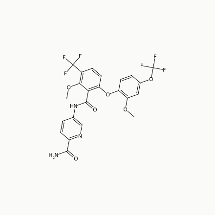 COc1cc(OC(F)(F)F)ccc1Oc1ccc(C(F)(F)F)c(OC)c1C(=O)Nc1ccc(C(N)=O)nc1